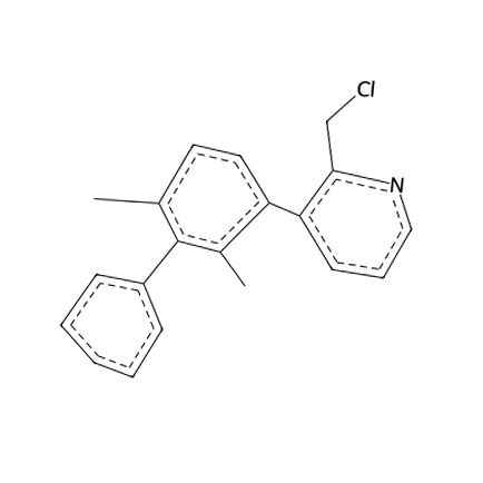 Cc1ccc(-c2cccnc2CCl)c(C)c1-c1ccccc1